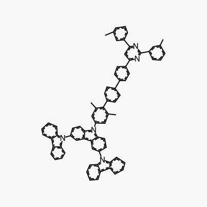 Cc1cccc(-c2cc(-c3ccc(-c4ccc(-c5c(C)cc(-n6c7ccc(-n8c9ccccc9c9ccccc98)cc7c7cc(-n8c9ccccc9c9ccccc98)ccc76)cc5C)cc4)cc3)nc(-c3cccc(C)c3)n2)c1